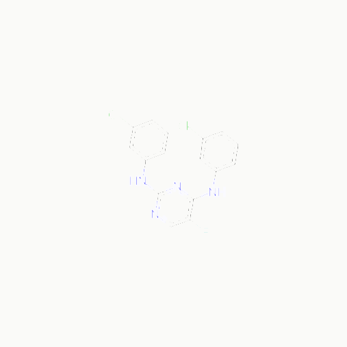 Fc1cnc(Nc2cccc(Cl)c2)nc1Nc1cccc(Cl)c1